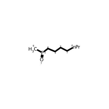 CCCCCCC[P](C)=O